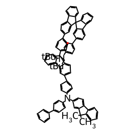 CC(C)(C)CC(c1ccc(-c2ccc3c(c2)C2(c4ccccc4-3)c3ccccc3-c3ccc(-c4ccc(-n5c6ccccc6c6cc(-c7ccc(N(c8ccc(-c9ccccc9)cc8)c8ccc9c(c8)C(C)(C)c8ccccc8-9)cc7)ccc65)cc4)cc32)cc1)C(C)(C)C